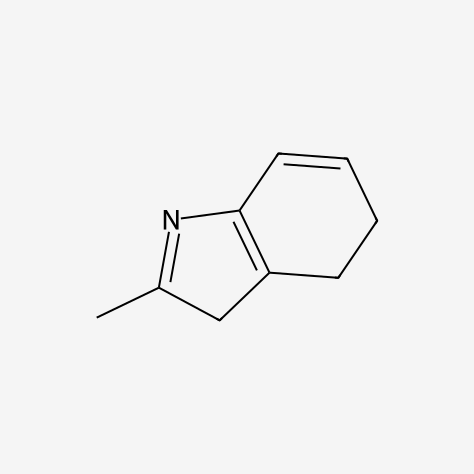 CC1=NC2=C(CCC=C2)C1